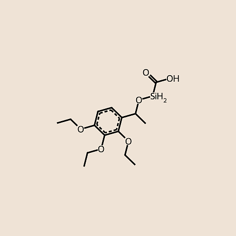 CCOc1ccc(C(C)O[SiH2]C(=O)O)c(OCC)c1OCC